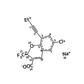 CCC#Cc1cc(Cl)cc2c1O[C@H](C(F)(F)F)C(C(=O)[O-])=C2.[Na+]